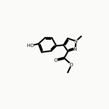 COC(=O)c1nn(C)cc1-c1ccc(O)cc1